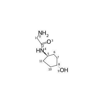 NCC(=O)N[C@H]1CC[C@H](O)CC1